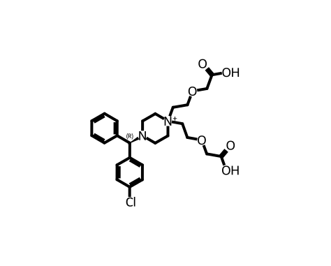 O=C(O)COCC[N+]1(CCOCC(=O)O)CCN([C@H](c2ccccc2)c2ccc(Cl)cc2)CC1